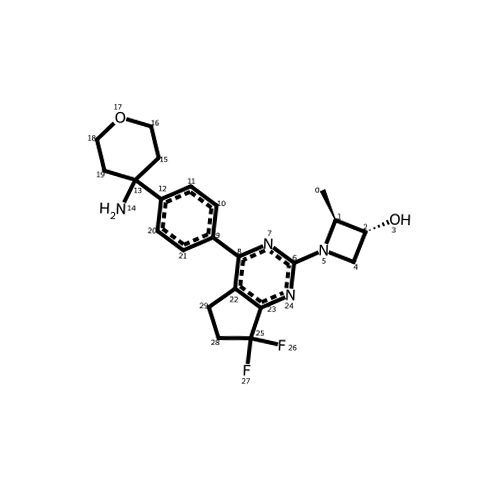 C[C@H]1[C@H](O)CN1c1nc(-c2ccc(C3(N)CCOCC3)cc2)c2c(n1)C(F)(F)CC2